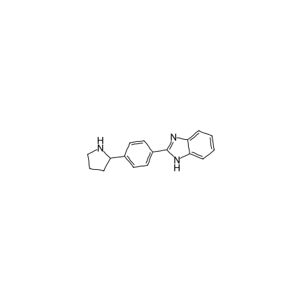 c1ccc2[nH]c(-c3ccc(C4CCCN4)cc3)nc2c1